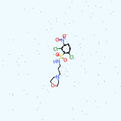 O=[N+]([O-])c1ccc(Cl)c(S(=O)(=O)NCCCN2CCOCC2)c1Cl